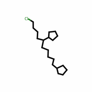 ClCCCCC(CCCCCC1CCCC1)C1CCCC1